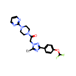 CCc1nc(-c2ccc(OC(F)F)cc2)nn1CC(=O)N1CCN(c2ncccn2)CC1